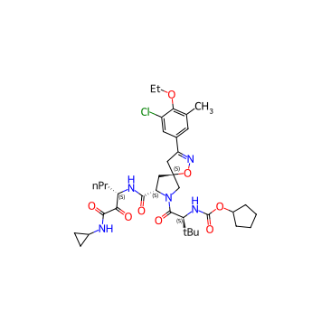 CCC[C@H](NC(=O)[C@@H]1C[C@]2(CC(c3cc(C)c(OCC)c(Cl)c3)=NO2)CN1C(=O)[C@@H](NC(=O)OC1CCCC1)C(C)(C)C)C(=O)C(=O)NC1CC1